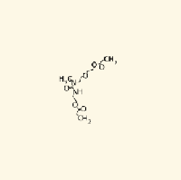 C=CC(=O)OCCNC(=O)N(C)CCOCCOC(=O)C=C